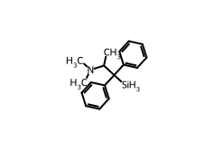 CC(N(C)C)C([SiH3])(c1ccccc1)c1ccccc1